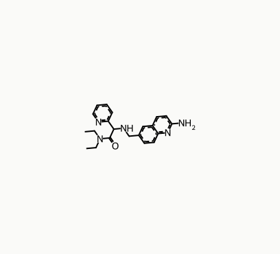 CCN(CC)C(=O)C(NCc1ccc2nc(N)ccc2c1)c1ccccn1